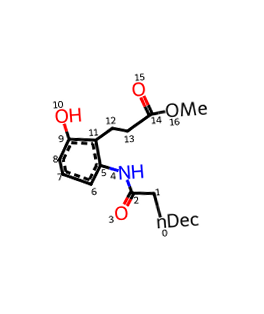 CCCCCCCCCCCC(=O)Nc1cccc(O)c1CCC(=O)OC